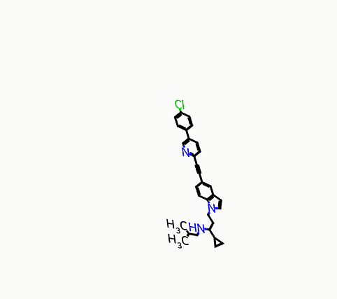 CC(C)CNC(CCn1ccc2cc(C#Cc3ccc(-c4ccc(Cl)cc4)cn3)ccc21)C1CC1